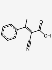 C/C(=C(/C#N)C(=O)O)c1ccccc1